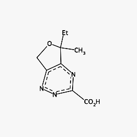 CCC1(C)OCc2nnc(C(=O)O)nc21